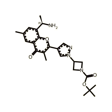 Cc1cc([C@@H](C)N)c2oc(-c3cnn(C4CN(C(=O)OC(C)(C)C)C4)c3)c(C)c(=O)c2c1